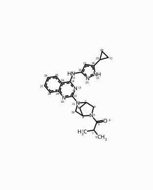 CC(C)C(=O)N1CC2CC1CN2c1nc(Nc2cc(C3CC3)[nH]n2)c2ccccc2n1